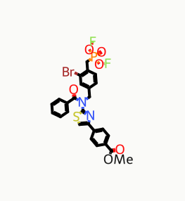 COC(=O)c1ccc(-c2csc(N(Cc3ccc(CP(=O)(OF)OF)c(Br)c3)C(=O)c3ccccc3)n2)cc1